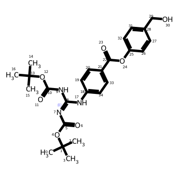 CC(C)(C)OC(=O)/N=C(/NC(=O)OC(C)(C)C)Nc1ccc(C(=O)Oc2ccc(CO)cc2)cc1